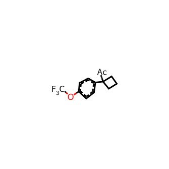 CC(=O)C1(c2ccc(OC(F)(F)F)cc2)CCC1